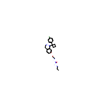 CCCNC(=O)NCCOc1ccc2c(c1)C(C1(c3ccc(Cl)cc3)CCC1)=NCC2